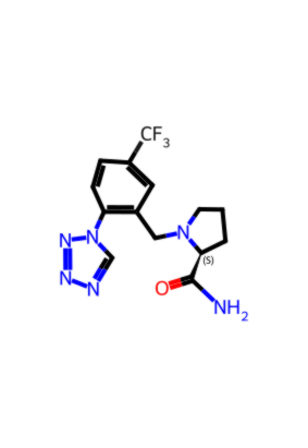 NC(=O)[C@@H]1CCCN1Cc1cc(C(F)(F)F)ccc1-n1cnnn1